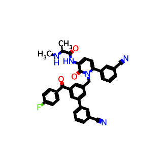 CN[C@@H](C)C(=O)Nc1ccc(-c2cccc(C#N)c2)n(Cc2cc(C(=O)c3ccc(F)cc3)cc(-c3cccc(C#N)c3)c2)c1=O